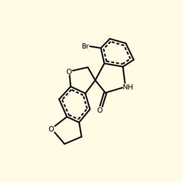 O=C1Nc2cccc(Br)c2C12COc1cc3c(cc12)CCO3